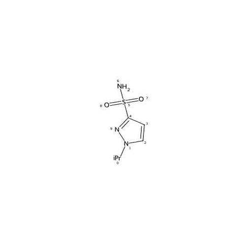 CC(C)n1ccc(S(N)(=O)=O)n1